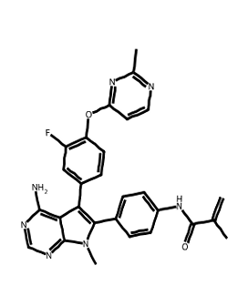 C=C(C)C(=O)Nc1ccc(-c2c(-c3ccc(Oc4ccnc(C)n4)c(F)c3)c3c(N)ncnc3n2C)cc1